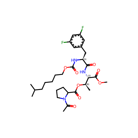 COC(=O)[C@@H](NC(=O)[C@H](Cc1cc(F)cc(F)c1)NC(=O)OCCCCCC(C)C)[C@@H](C)OC(=O)C1CCCN1C(C)=O